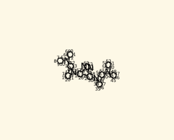 c1ccc(N(c2ccccc2)c2ccc3c(c2)c2ccccc2n3-c2ccc3c4ccc(-n5c6ccccc6c6cc(N(c7ccccc7)c7ccccc7)ccc65)cc4c4nccnc4c3c2)cc1